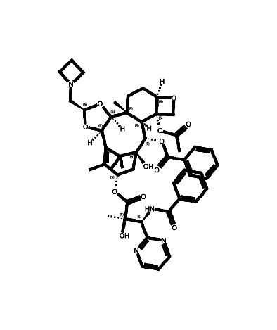 CC(=O)O[C@@]12CO[C@@H]1CC[C@@]1(C)[C@@H]3O[C@H](CN4CCC4)O[C@@H]3C3=C(C)[C@@H](OC(=O)[C@](C)(O)[C@@H](NC(=O)c4ccccc4)c4ncccn4)C[C@@](O)([C@@H](OC(=O)c4ccccc4)[C@@H]12)C3(C)C